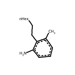 CCCCCCCCc1c(C)cccc1N